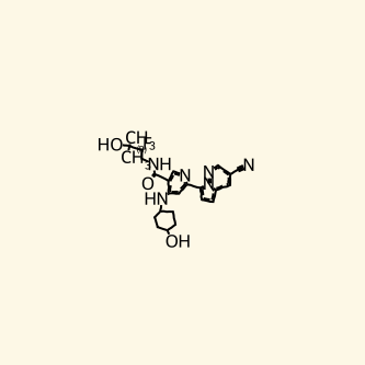 CC(C)(O)[C@H](F)CNC(=O)c1cnc(-c2ccc3cc(C#N)cnn23)cc1NC1CCC(O)CC1